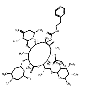 C=C1C[C@@H](C)O[C@@H](O[C@@H]2[C@@H](C)[C@H](O[C@H]3C[C@H](C)N(C)C[C@H](C)O3)[C@@H](C)C(=O)O[C@H]([C@@H](C)CO[C@@H]3O[C@H](C)[C@@H](OC(C)=O)[C@@H](OC)[C@H]3OC)[C@H](C)[C@@H](OC(=O)CC(C)C)[C@@H](C)C(=O)[C@@](C)(OC(=O)NCCc3ccncc3)C[C@@H]2C)[C@@H]1OC(C)=O